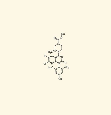 Cc1cc(C#N)cc(C)c1-n1c(=O)nc(N2CCN(C(=O)OC(C)(C)C)C[C@@H]2C)c2cc(F)c(Cl)nc21